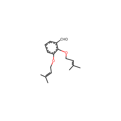 CC(C)=CCOc1cccc(C=O)c1OCC=C(C)C